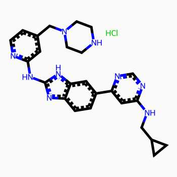 Cl.c1cc(CN2CCNCC2)cc(Nc2nc3ccc(-c4cc(NCC5CC5)ncn4)cc3[nH]2)n1